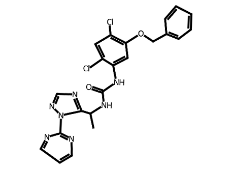 CC(NC(=O)Nc1cc(OCc2ccccc2)c(Cl)cc1Cl)c1ncnn1-c1ncccn1